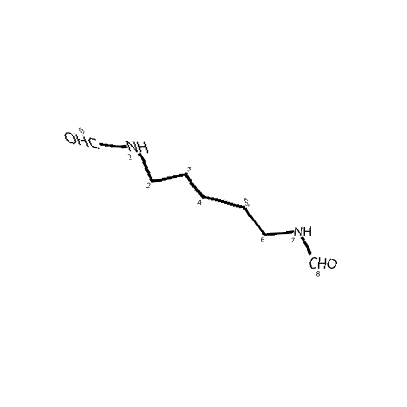 O=CNCCCCCNC=O